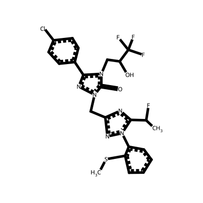 CSc1ccccc1-n1nc(Cn2nc(-c3ccc(Cl)cc3)n(CC(O)C(F)(F)F)c2=O)nc1C(C)F